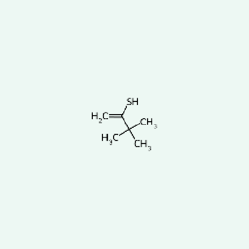 C=C(S)C(C)(C)C